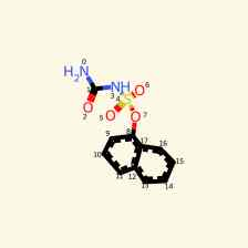 NC(=O)NS(=O)(=O)Oc1cccc2ccccc12